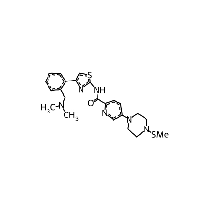 CSN1CCN(c2ccc(C(=O)Nc3nc(-c4ccccc4CN(C)C)cs3)nc2)CC1